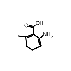 CC1=C(C(=O)O)C(N)=CCC1